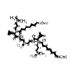 CCCCCCCCCCCCCCCCCC(=O)N(CCCN(C)C)C(C(=O)NCCN(C)CCNC(=O)C(C1CC1)N(CCCN(C)C)C(=O)CCCCCCCCCCCCCCCCC)C1CC1